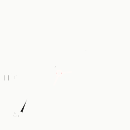 CC(=O)[C@@H](C)COCc1ccccc1